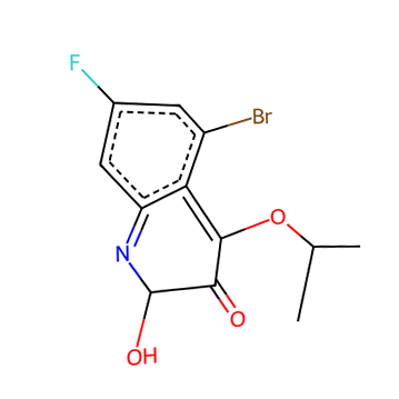 CC(C)OC1=c2c(Br)cc(F)cc2=NC(O)C1=O